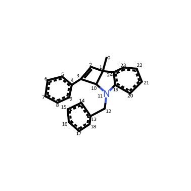 CC12C=C(c3ccccc3)C1N(Cc1ccccc1)c1ccccc12